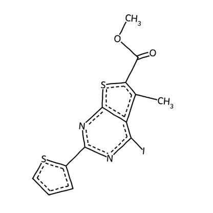 COC(=O)c1sc2nc(-c3cccs3)nc(I)c2c1C